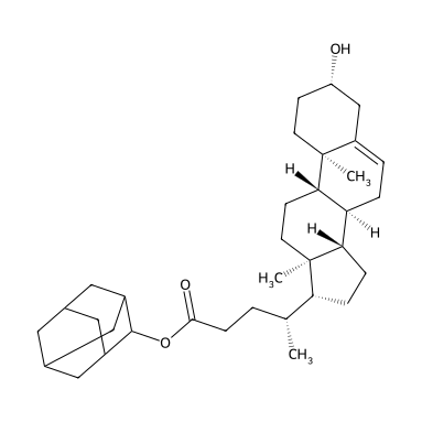 C[C@H](CCC(=O)OC1C2CC3CC(C2)CC1C3)[C@H]1CC[C@H]2[C@@H]3CC=C4C[C@@H](O)CC[C@]4(C)[C@H]3CC[C@]12C